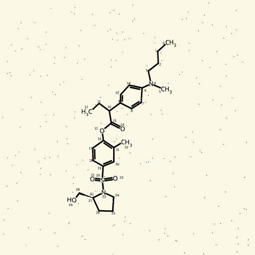 CCCCN(C)c1ccc(C(CC)C(=O)Oc2ccc(S(=O)(=O)N3CCC[C@H]3CO)cc2C)cc1